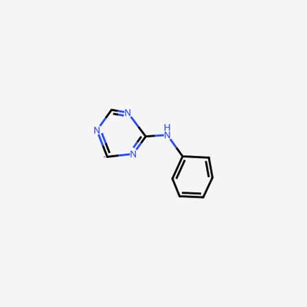 [c]1ncnc(Nc2ccccc2)n1